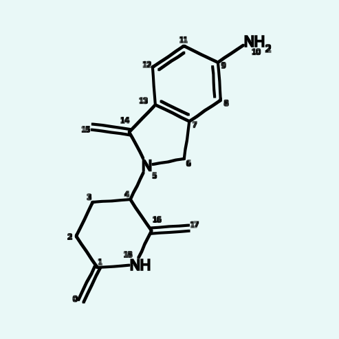 C=C1CCC(N2Cc3cc(N)ccc3C2=C)C(=C)N1